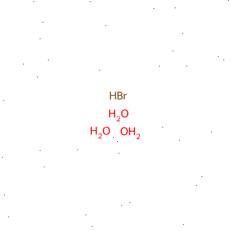 Br.O.O.O